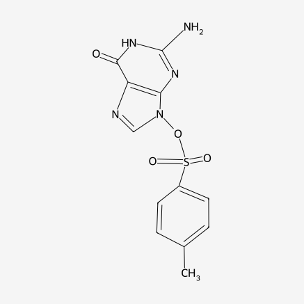 Cc1ccc(S(=O)(=O)On2cnc3c(=O)[nH]c(N)nc32)cc1